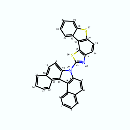 c1ccc2c(c1)ccc1c2c2c3ccccc3ccc2n1-c1nc2ccc3sc4ccccc4c3c2s1